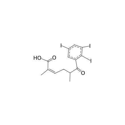 CC(=CCC(C)C(=O)c1cc(I)cc(I)c1I)C(=O)O